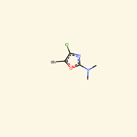 CN(C)c1nc(Cl)c(C(C)(C)C)o1